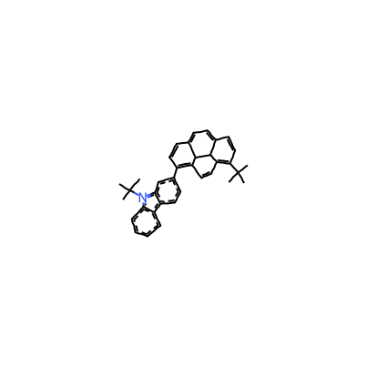 CC(C)(C)C1=C2C=CC3=C(c4ccc5c6ccccc6n(C(C)(C)C)c5c4)C=CC4=CC=C(C=C1)C2C43